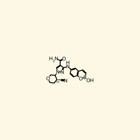 N#C[C@H]1CCOCC1n1cc(C(N)=O)c(Nc2ccc3c(c2)C=CB(O)O3)n1